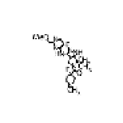 COCc1ncc(F)c(Nc2n[nH]c3c2CN(C(=O)C2(F)CCN(C)CC2)C3(C)C)n1